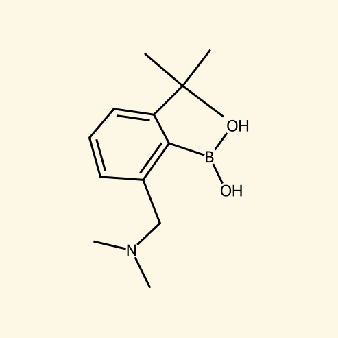 CN(C)Cc1cccc(C(C)(C)C)c1B(O)O